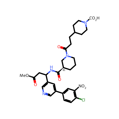 COC(=O)CC(NC(=O)[C@@H]1CCCN(C(=O)CCC2CCN(C(=O)O)CC2)C1)c1cncc(-c2ccc(Cl)c([N+](=O)[O-])c2)c1